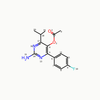 CC(=O)Oc1c(-c2ccc(F)cc2)nc(N)nc1C(C)C